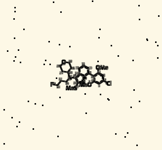 COc1cc(Cl)cc(OC)c1-c1cccc2c(N(CCCF)C3CCOCC3)c(SC)nn12